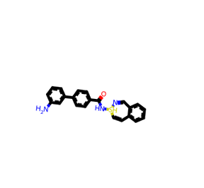 Nc1cccc(-c2ccc(C(=O)N[SH]3C=Cc4ccccc4C=N3)cc2)c1